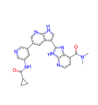 CN(C)C(=O)c1ccnc2[nH]c(-c3c[nH]c4ncc(-c5cncc(NC(=O)C6CC6)c5)cc34)nc12